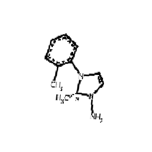 Cc1ccccc1N1C=CN(N)[C@@H]1C